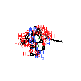 CCCCCCCCCC(=O)N[C@H]1[C@H](Oc2c3cc4cc2Oc2ccc(cc2Cl)[C@@H](O[C@@H]2O[C@H](CO)[C@@H](O)[C@H](O)[C@H]2NC(C)=O)[C@@H]2NC(=O)[C@H](NC(=O)[C@@H]4NC(=O)[C@H]4NC(=O)[C@@H](Cc5ccc(c(Cl)c5)O3)NC(=O)[C@@H](N)c3ccc(O)c(c3)Oc3cc(O)cc4c3)c3ccc(O)c(c3)-c3c(O[C@H]4O[C@H](CO)[C@@H](O)[C@H](O)[C@@H]4O)cc(O)cc3[C@H](C(=O)O)NC2=O)O[C@H](CO)[C@@H](O)[C@@H]1O